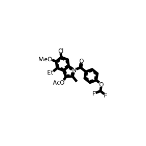 CCc1c(OC)c(Cl)cc2c1c(OC(C)=O)c(C)n2C(=O)c1ccc(OC(F)F)cc1